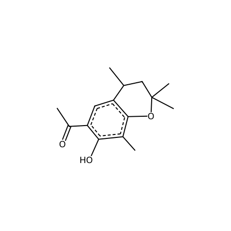 CC(=O)c1cc2c(c(C)c1O)OC(C)(C)CC2C